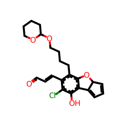 O=CC=Cc1c(Cl)c(O)c2c(c1CCCCOC1CCCCO1)OC1C=CC=C21